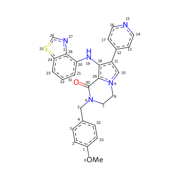 COc1ccc(CN2CCn3cc(-c4ccncc4)c(Nc4cccc5scnc45)c3C2=O)cc1